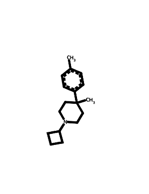 Cc1ccc(C2(C)CCN(C3CCC3)CC2)cc1